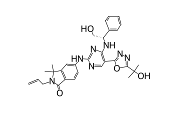 C=CCN1C(=O)c2ccc(Nc3ncc(-c4nnc(C(C)(C)O)o4)c(N[C@H](CO)c4ccccc4)n3)cc2C1(C)C